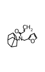 C=CC(=O)N(Cc1ccco1)C12CC3CC(CC(C3)C1)C2